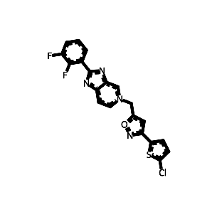 Fc1cccc(-c2nc3ccn(Cc4cc(-c5ccc(Cl)s5)no4)cc-3n2)c1F